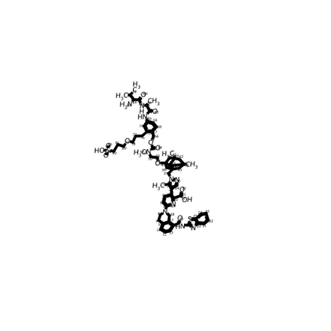 Cc1c(-c2ccc(N3CCc4cccc(C(=O)Nc5nc6ccccc6s5)c4C3)nc2C(=O)O)cnn1CC12CC3(C)CC(C)(C1)CC(OCCN(C)C(=O)OCc1ccc(NC(=O)C(C)NC(=O)C(N)C(C)C)cc1CCCOCCCS(=O)(=O)O)(C3)C2